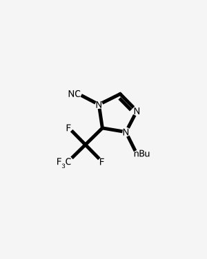 CCCCN1N=CN(C#N)C1C(F)(F)C(F)(F)F